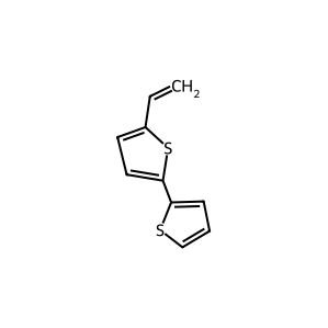 C=Cc1ccc(-c2cccs2)s1